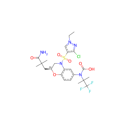 CCn1cc(S(=O)(=O)N2C[C@H](CC(C)(C)C(N)=O)Oc3ccc(N(C(=O)O)C(C)(C)C(F)(F)F)cc32)c(Cl)n1